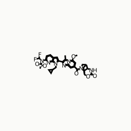 COc1cc(C(=O)N2CC3CC4OC(=O)NC3C42)cc2nc(-c3cc4ccc(N(C(F)F)S(C)(=O)=O)nc4n3CC3CC3)c(C)n12